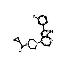 O=C(C1CC1)N1CCN(c2ccnc3[nH]c(-c4cccc(F)c4)cc23)CC1